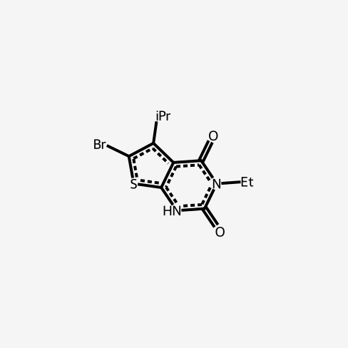 CCn1c(=O)[nH]c2sc(Br)c(C(C)C)c2c1=O